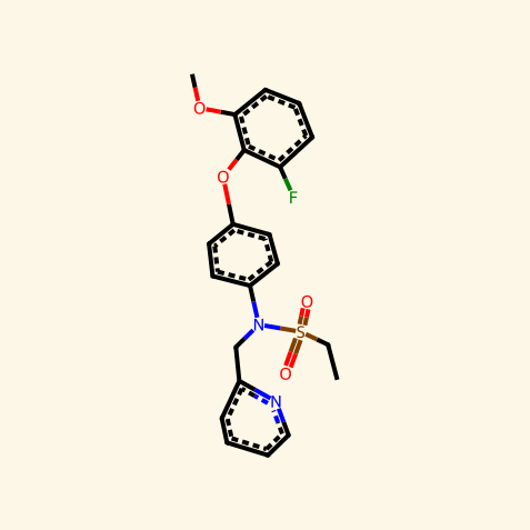 CCS(=O)(=O)N(Cc1ccccn1)c1ccc(Oc2c(F)cccc2OC)cc1